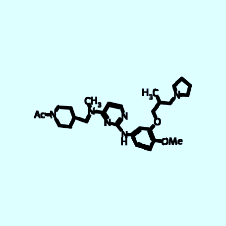 COc1ccc(Nc2nccc(N(C)CC3CCN(C(C)=O)CC3)n2)cc1OCC(C)CN1CCCC1